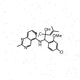 COc1cc(Cl)ccc1C(Nc1cccc2nc(C)ncc12)C(O)(C=C(C)C)C(F)(F)F